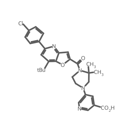 CC(C)(C)c1cc(-c2ccc(Cl)cc2)nc2cc(C(=O)N3CCN(c4cncc(C(=O)O)c4)CC3(C)C)oc12